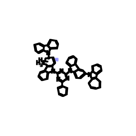 C=C(/C=C\c1c(C)c2ccccc2n1-c1nc(-c2ccccc2)nc(-n2c3ccccc3c3cc(-n4c5c(c6ccccc64)C=CC=CC5)ccc32)n1)n1c2ccccc2c2ccccc21